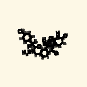 BN(Cc1ccc2c(c1)C(B)(B)N(C1CCC(=O)NC1=O)C2=O)C(=O)C(F)(F)c1ccc(Cl)cc1